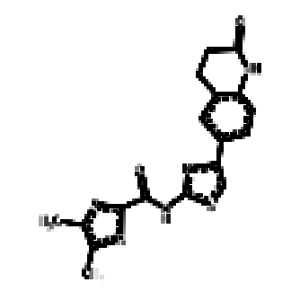 Cc1nc(C(=O)Nc2nc(-c3ccc4c(c3)CCC(=O)N4)cs2)sc1C